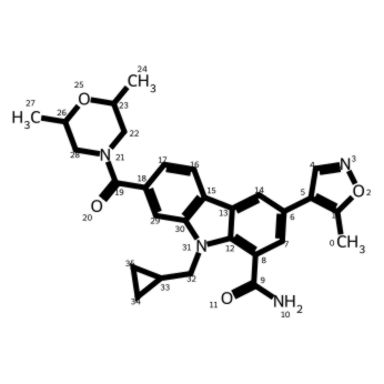 Cc1oncc1-c1cc(C(N)=O)c2c(c1)c1ccc(C(=O)N3CC(C)OC(C)C3)cc1n2CC1CC1